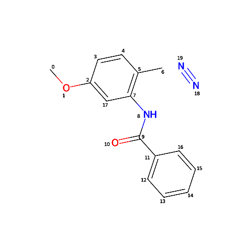 COc1ccc(C)c(NC(=O)c2ccccc2)c1.N#N